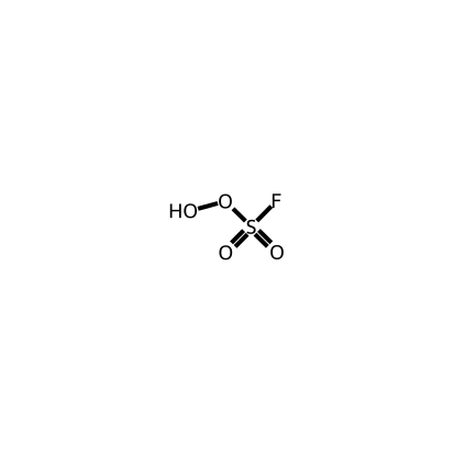 O=S(=O)(F)OO